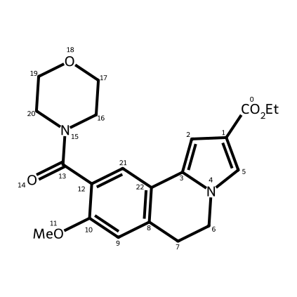 CCOC(=O)c1cc2n(c1)CCc1cc(OC)c(C(=O)N3CCOCC3)cc1-2